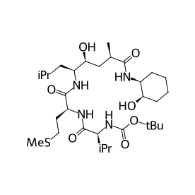 CSCC[C@H](NC(=O)[C@@H](NC(=O)OC(C)(C)C)C(C)C)C(=O)N[C@@H](CC(C)C)[C@@H](O)C[C@@H](C)C(=O)N[C@H]1CCCC[C@H]1O